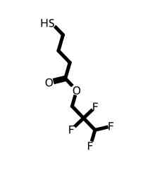 O=C(CCCS)OCC(F)(F)C(F)F